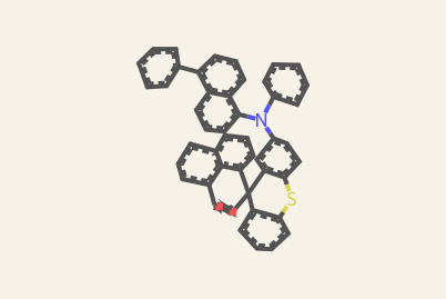 c1ccc(-c2cccc3c(N(c4ccccc4)c4ccc5c(c4)C4(c6ccccc6S5)c5ccccc5-c5cccc6cccc4c56)cccc23)cc1